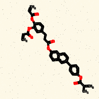 C=CC(=O)Oc1ccc(CCC(=O)Oc2ccc3cc(-c4ccc(OC(=O)C(=C)C)cc4)ccc3c2)cc1OC(=O)C=C